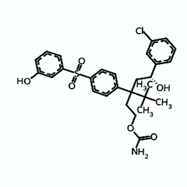 CC(C)(C)C(CCOC(N)=O)(C[C@@H](O)c1cccc(Cl)c1)c1ccc(S(=O)(=O)c2cccc(O)c2)cc1